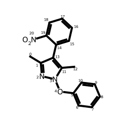 Cc1nn(Oc2ccccc2)c(C)c1-c1ccccc1[N+](=O)[O-]